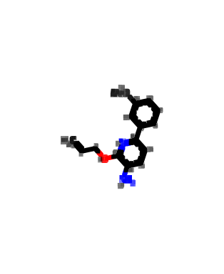 C=CCOc1nc(-c2cccc(OC)c2)ccc1N